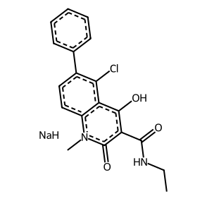 CCNC(=O)c1c(O)c2c(Cl)c(-c3ccccc3)ccc2n(C)c1=O.[NaH]